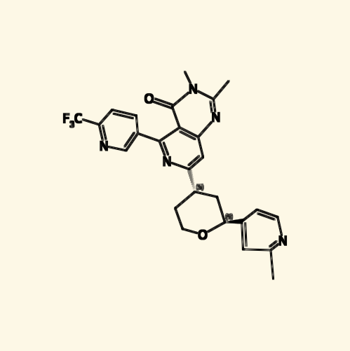 Cc1cc([C@@H]2C[C@@H](c3cc4nc(C)n(C)c(=O)c4c(-c4ccc(C(F)(F)F)nc4)n3)CCO2)ccn1